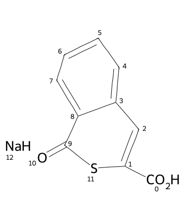 O=C(O)c1cc2ccccc2c(=O)s1.[NaH]